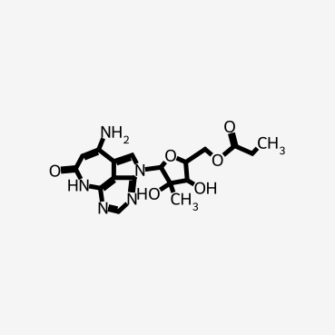 CCC(=O)OCC1OC(n2cc3c4c(ncnc42)NC(=O)C=C3N)C(C)(O)C1O